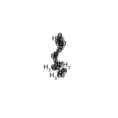 COc1cc(-c2cn(C)c(=O)c3cnccc23)cc(OC)c1CNCCOCC(=O)N1CC(COc2ccc3c(c2)C(=O)N(C2CCC(=O)NC2=O)C3=O)C1